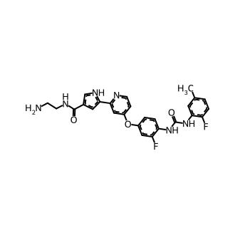 Cc1ccc(F)c(NC(=O)Nc2ccc(Oc3ccnc(-c4cc(C(=O)NCCN)c[nH]4)c3)cc2F)c1